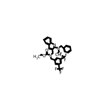 CCOC(=O)N(Cc1cc(C(F)(F)F)cc(C(F)(F)F)c1)Cc1cc2ccccc2nc1N(CC)Cc1ccccc1